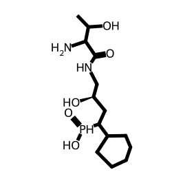 CC(O)C(N)C(=O)NC[C@H](O)CC(C1CCCCC1)[PH](=O)O